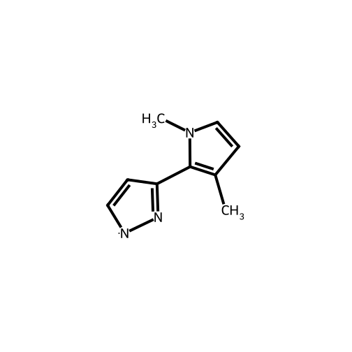 Cc1ccn(C)c1C1=N[N]C=C1